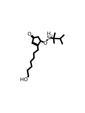 CC(C)C(C)(C)[SiH2]OC1CC(=O)C=C1CCCCCCCO